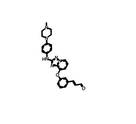 CN1CCN(c2ccc(Nc3nc4c(Oc5cccc(C=CC=O)c5)cccn4n3)cc2)CC1